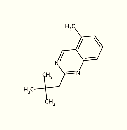 Cc1cccc2nc(CC(C)(C)C)ncc12